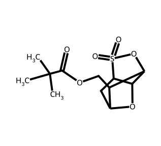 CC(C)(C)C(=O)OCC1C2CC3C(O2)C1OS3(=O)=O